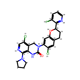 O=C1Nc2c(N3CCCC3)ncc(Cl)c2CN1c1cc2c(cc1Cl)CCC(c1ncccc1F)O2